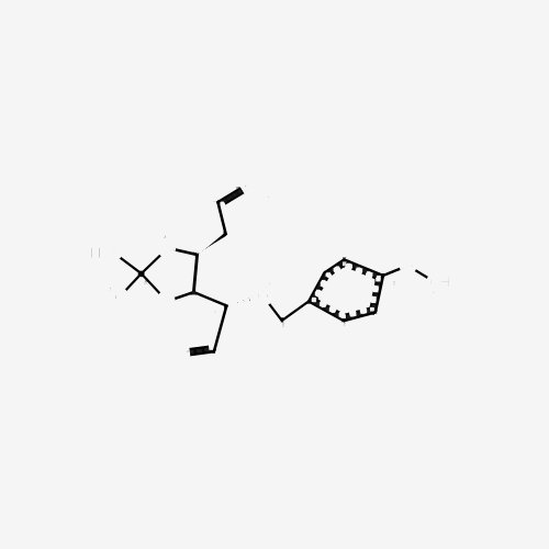 C=CC[C@@H]1OC(C)(C)OC1[C@@H](C=O)OCc1ccc(OC)cc1